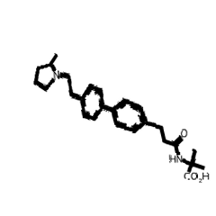 CC1CCCN1CCc1ccc(-c2ccc(CCC(=O)NC(C)(C)C(=O)O)cc2)cc1